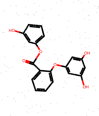 O=C(Oc1cccc(O)c1)c1ccccc1Oc1cc(O)cc(O)c1